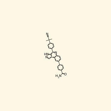 CC(C)(C#N)c1ccc(-c2nc3ccc(-c4ccc(C(N)=O)cc4)cc3c3cn[nH]c23)cc1